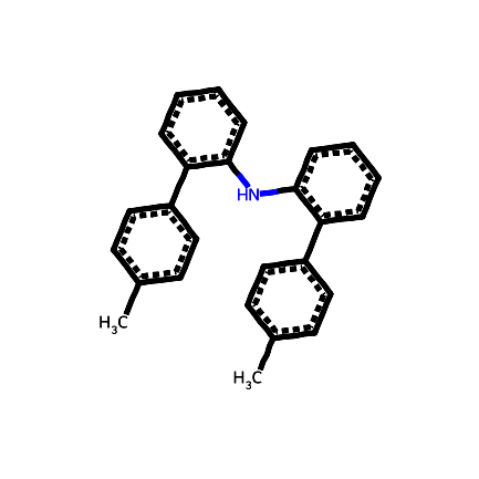 Cc1ccc(-c2ccccc2Nc2ccccc2-c2ccc(C)cc2)cc1